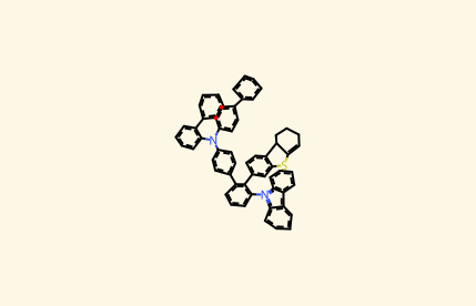 C1=C2Sc3cc(-c4c(-c5ccc(N(c6ccc(-c7ccccc7)cc6)c6ccccc6-c6ccccc6)cc5)cccc4-n4c5ccccc5c5ccccc54)ccc3C2CCC1